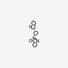 O=c1c2ccccc2ncn1Cc1cccc(-c2cnc3ccccc3c2)c1